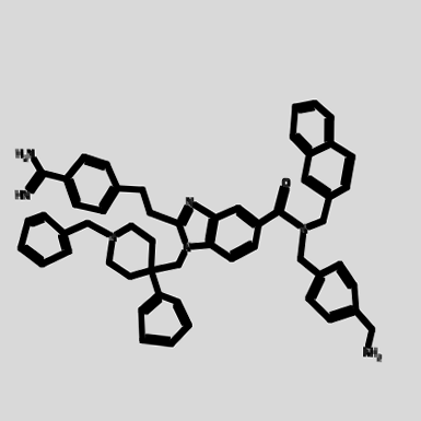 N=C(N)c1ccc(CCc2nc3cc(C(=O)N(Cc4ccc(CN)cc4)Cc4ccc5ccccc5c4)ccc3n2CC2(c3ccccc3)CCN(Cc3ccccc3)CC2)cc1